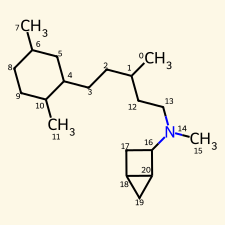 CC(CCC1CC(C)CCC1C)CCN(C)C1CC2CC21